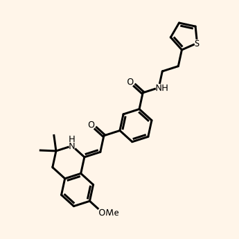 COc1ccc2c(c1)C(=CC(=O)c1cccc(C(=O)NCCc3cccs3)c1)NC(C)(C)C2